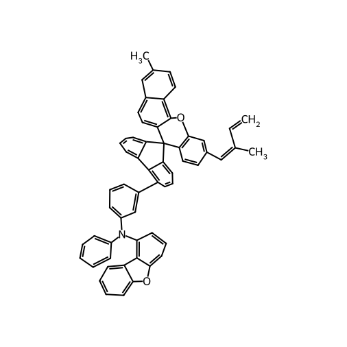 C=C/C(C)=C\c1ccc2c(c1)Oc1c(ccc3cc(C)ccc13)C21c2ccccc2-c2c(-c3cccc(N(c4ccccc4)c4cccc5oc6ccccc6c45)c3)cccc21